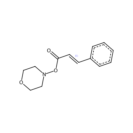 O=C(/C=C/c1ccccc1)ON1CCOCC1